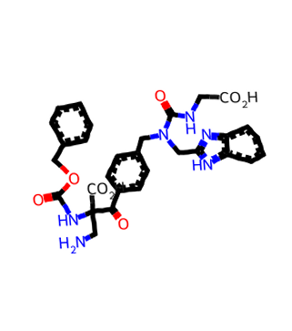 NCC(NC(=O)OCc1ccccc1)(C(=O)O)C(=O)c1ccc(CN(Cc2nc3ccccc3[nH]2)C(=O)NCC(=O)O)cc1